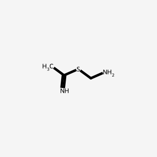 CC(=N)SCN